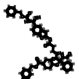 N=C(NC(=O)OCc1ccccc1)c1ccc2oc(OC(=O)CCNC(=O)C(NC=O)(OC3CCN(C(=O)OCc4ccccc4)CC3)c3ccccc3)cc2c1